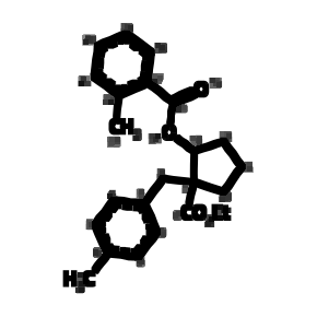 CCOC(=O)C1(Cc2ccc(C)cc2)CCCC1OC(=O)c1ccccc1C